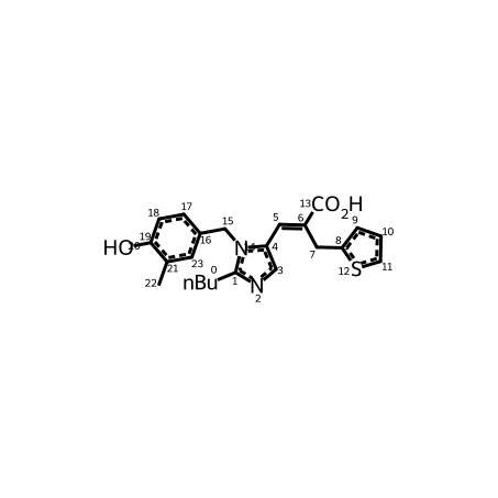 CCCCc1ncc(C=C(Cc2cccs2)C(=O)O)n1Cc1ccc(O)c(C)c1